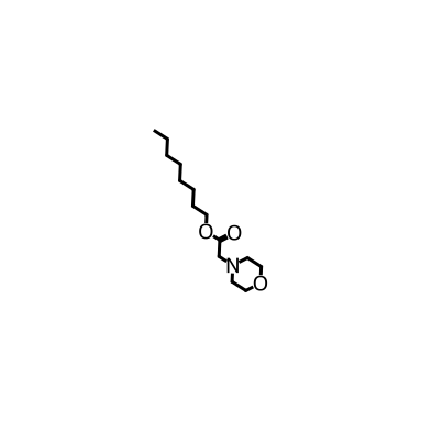 CCCCCCCCOC(=O)CN1CCOCC1